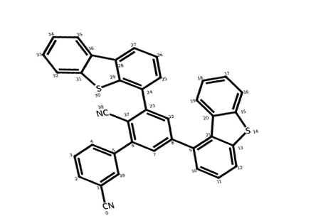 N#Cc1cccc(-c2cc(-c3cccc4sc5ccccc5c34)cc(-c3cccc4c3sc3ccccc34)c2C#N)c1